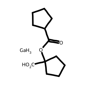 O=C(OC1(C(=O)O)CCCC1)C1CCCC1.[GaH3]